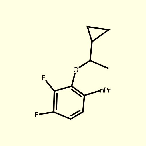 CCCc1ccc(F)c(F)c1OC(C)C1CC1